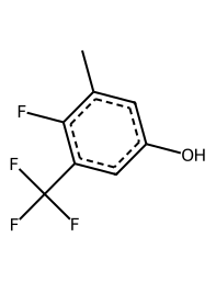 Cc1cc(O)cc(C(F)(F)F)c1F